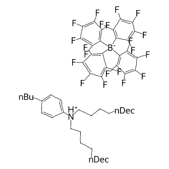 CCCCCCCCCCCCCC[NH+](CCCCCCCCCCCCCC)c1ccc(CCCC)cc1.Fc1c(F)c(F)c([B-](c2c(F)c(F)c(F)c(F)c2F)(c2c(F)c(F)c(F)c(F)c2F)c2c(F)c(F)c(F)c(F)c2F)c(F)c1F